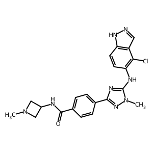 CN1CC(NC(=O)c2ccc(-c3nc(Nc4ccc5[nH]ncc5c4Cl)n(C)n3)cc2)C1